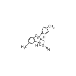 Cc1ccc([C@@H]2Oc3ccc(C)cc3[C@@H]3C[C@@H](C#N)C[C@@H]32)cc1